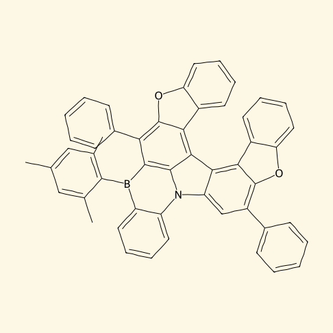 Cc1cc(C)c(B2c3ccccc3-n3c4cc(-c5ccccc5)c5oc6ccccc6c5c4c4c5c(oc6ccccc65)c(-c5ccccc5)c2c43)c(C)c1